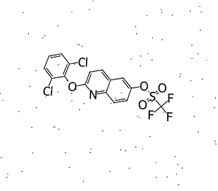 O=S(=O)(Oc1ccc2nc(Oc3c(Cl)cccc3Cl)ccc2c1)C(F)(F)F